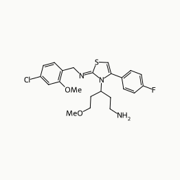 COCCC(CCN)n1c(-c2ccc(F)cc2)csc1=NCc1ccc(Cl)cc1OC